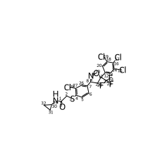 O=C(CSc1ccc(C2=NOC(c3cc(Cl)c(Cl)c(Cl)c3)(C(F)(F)F)C2)cc1Cl)NC1CC1